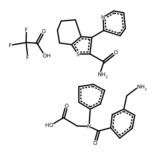 NC(=O)c1sc2c(c1-c1ccccn1)CCCC2.NCc1cccc(C(=O)N(CC(=O)O)c2ccccc2)c1.O=C(O)C(F)(F)F